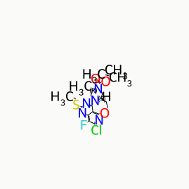 CCSc1nc2c3c(nc(Cl)c(F)c3n1)OCC[C@H]1CN(C(=O)OC(C)(C)C)[C@H](C)CN21